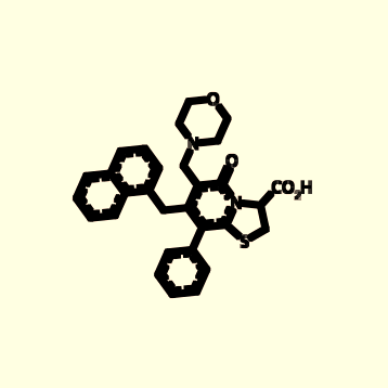 O=C(O)C1CSc2c(-c3ccccc3)c(Cc3cccc4ccccc34)c(CN3CCOCC3)c(=O)n21